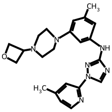 Cc1cc(Nc2ncn(-c3cc(C)ccn3)n2)cc(N2CCN(C3COC3)CC2)c1